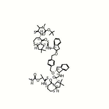 CNC(=O)OC(C)C(=S)N[C@H]1CCS[C@H]2CC(C)(C)[C@@H](C(=O)N[C@H]3c4ccccc4C[C@H]3OCc3ccc(CO[C@@H]4Cc5ccccc5[C@@H]4NC(=S)[C@H]4N5C(=O)[C@@H](NC(=S)C(C)N(C)C(=O)OC(C)(C)C)CCS[C@H]5CC4(C)C)cc3)N2C1=O